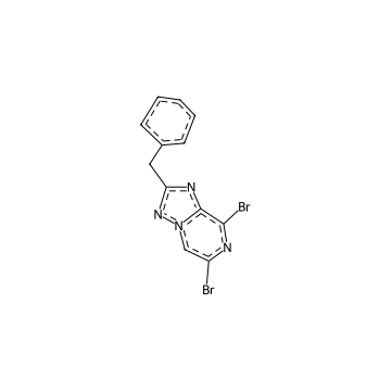 Brc1cn2nc(Cc3ccccc3)nc2c(Br)n1